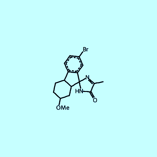 COC1CCC2c3ccc(Br)cc3C3(N=C(C)C(=O)N3)C2C1